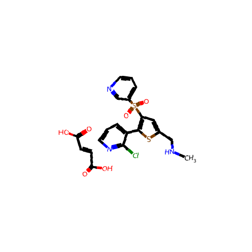 CNCc1cc(S(=O)(=O)c2cccnc2)c(-c2cccnc2Cl)s1.O=C(O)C=CC(=O)O